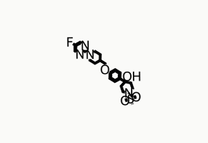 CS(=O)(=O)N1CCC(O)(c2ccc(OCC3CCN(c4ncc(F)cn4)CC3)cc2)CC1